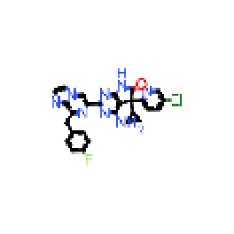 Nc1nc(-c2cn3ccnc3c(Cc3ccc(F)cc3)n2)nc2c1C(c1ccc(Cl)cn1)(C1CC1)C(=O)N2